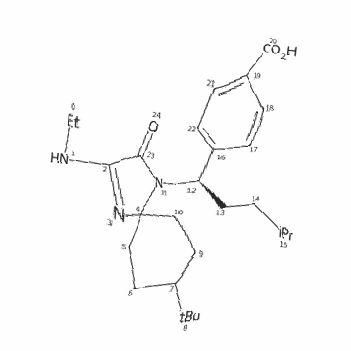 CCNC1=NC2(CCC(C(C)(C)C)CC2)N([C@H](CCC(C)C)c2ccc(C(=O)O)cc2)C1=O